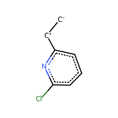 [CH2-][CH+]c1cccc(Cl)n1